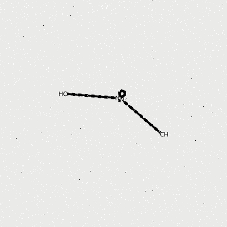 C#CC#CC#CC#CC#CC#CC#CC#Cn1c[n+](C#CC#CC#CC#CC#CC#CC#CC#C)c2ccccc21